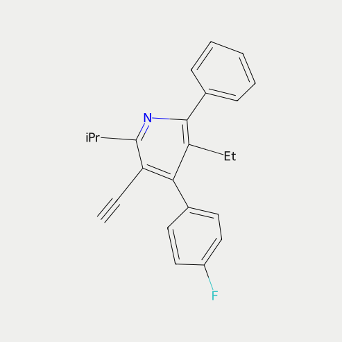 C#Cc1c(C(C)C)nc(-c2ccccc2)c(CC)c1-c1ccc(F)cc1